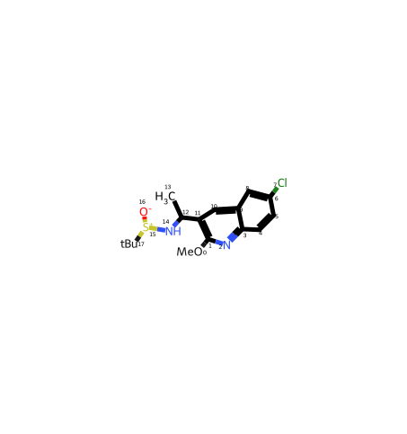 COc1nc2ccc(Cl)cc2cc1C(C)N[S+]([O-])C(C)(C)C